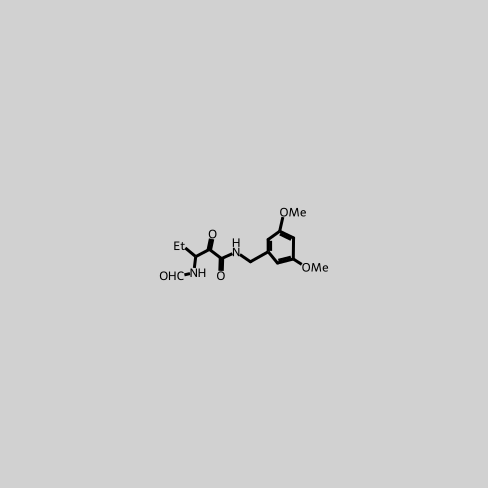 CCC(NC=O)C(=O)C(=O)NCc1cc(OC)cc(OC)c1